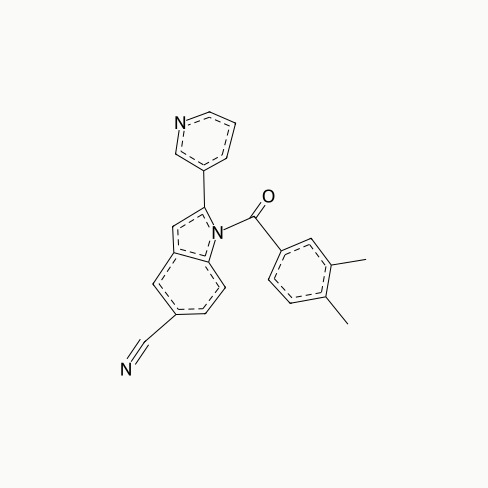 Cc1ccc(C(=O)n2c(-c3cccnc3)cc3cc(C#N)ccc32)cc1C